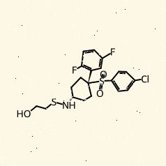 O=S(=O)(c1ccc(Cl)cc1)[C@]1(c2cc(F)ccc2F)CC[C@H](NSCCO)CC1